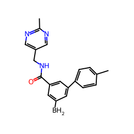 Bc1cc(C(=O)NCc2cnc(C)nc2)cc(-c2ccc(C)cc2)c1